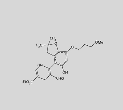 CCOC(=O)C1=CNC(c2c(O)cc(OCCCOC)c3c2CC(C)(C)O3)=C(C=O)C1